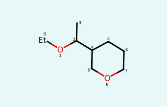 CCOC(C)C1CCCOC1